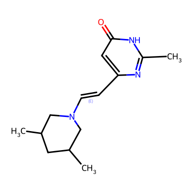 Cc1nc(/C=C/N2CC(C)CC(C)C2)cc(=O)[nH]1